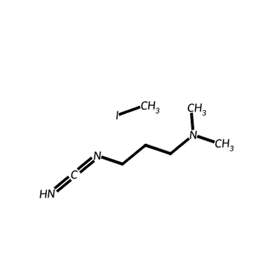 CI.CN(C)CCCN=C=N